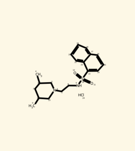 CC1CC(C)CN(CCNS(=O)(=O)c2cccc3ccccc23)C1.Cl